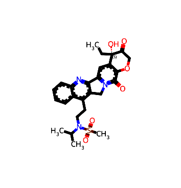 CC[C@@]1(O)C(=O)COc2c1cc1n(c2=O)Cc2c-1nc1ccccc1c2CCN(C(C)C)S(C)(=O)=O